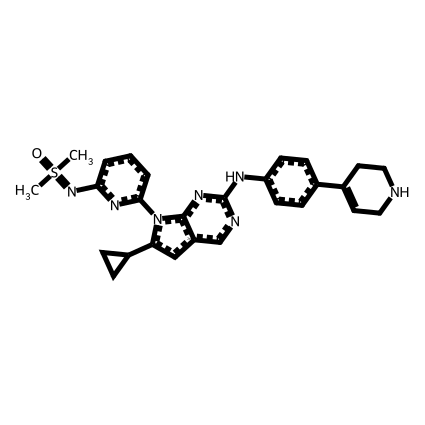 CS(C)(=O)=Nc1cccc(-n2c(C3CC3)cc3cnc(Nc4ccc(C5=CCNCC5)cc4)nc32)n1